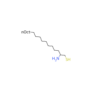 CCCCCCCCCCCCCCCCCC(N)CS